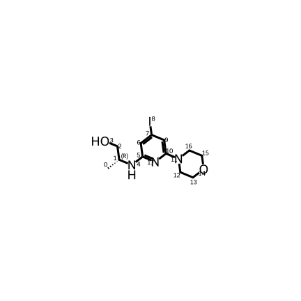 C[C@H](CO)Nc1cc(I)cc(N2CCOCC2)n1